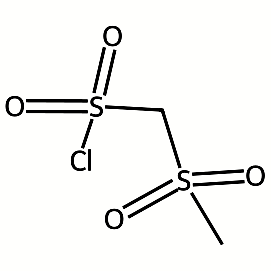 CS(=O)(=O)CS(=O)(=O)Cl